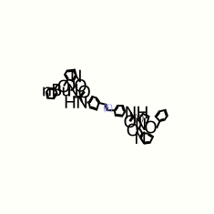 CCCCN(CC(=O)Nc1ccc(/C=C/c2ccc(NC(=O)[C@@H]3CCCN3C(=O)c3ncccc3OCc3ccccc3)cc2)cc1)C(=O)c1ncccc1OCc1ccccc1